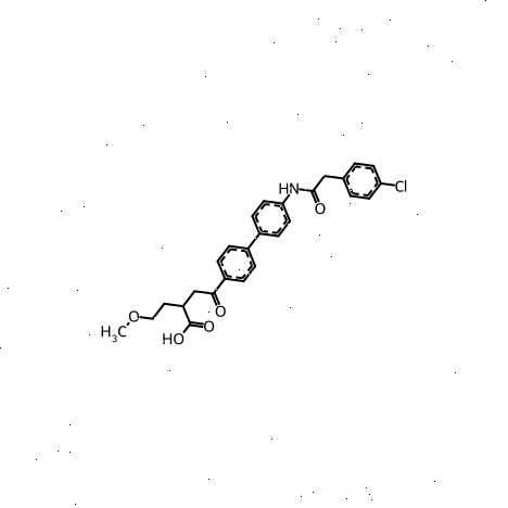 COCCC(CC(=O)c1ccc(-c2ccc(NC(=O)Cc3ccc(Cl)cc3)cc2)cc1)C(=O)O